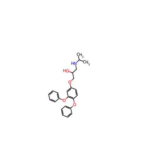 CC(C)NCC(O)COc1ccc(Oc2ccccc2)c(Oc2ccccc2)c1